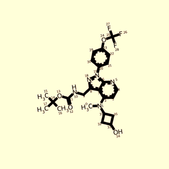 CN(c1ccnc2c1c(CNC(=O)OC(C)(C)C)nn2-c1ccc(OC(F)(F)F)cc1)C1CC(O)C1